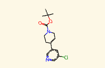 CC(C)(C)OC(=O)N1CC=C(c2cncc(Cl)c2)CC1